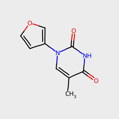 Cc1cn(-c2ccoc2)c(=O)[nH]c1=O